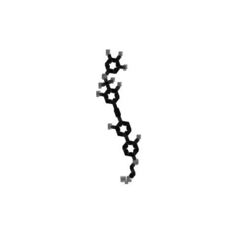 C=CCOc1ccc(-c2ccc(C#Cc3cc(F)c(C(F)(F)Oc4cc(F)c(F)c(F)c4)c(F)c3)c(F)c2)c(F)c1